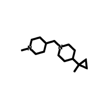 CN1CCC(CN2CCC(C3(C)CC3)CC2)CC1